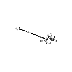 CCCCCCCCCCCCCCCCCCCCCCOC1C(O)[C@@H](CO)O[C@H]1n1cnc2c(=O)[nH]c(N)nc21